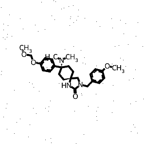 COCOc1ccc([C@]2(N(C)C)CC[C@@]3(CC2)CN(Cc2ccc(OC)cc2)C(=O)N3)cc1